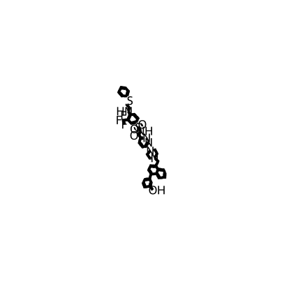 O=C(NS(=O)(=O)c1ccc(NCCSc2ccccc2)c(C(F)(F)F)c1)c1ccc(N2CCN(Cc3ccc(-c4cccc(O)c4)c4ccccc34)CC2)nn1